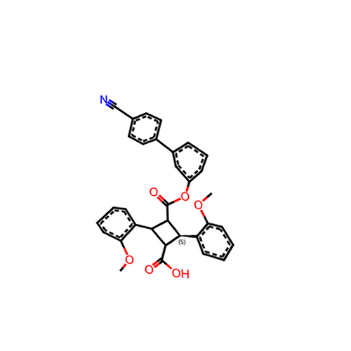 COc1ccccc1C1C(C(=O)O)[C@H](c2ccccc2OC)C1C(=O)Oc1cccc(-c2ccc(C#N)cc2)c1